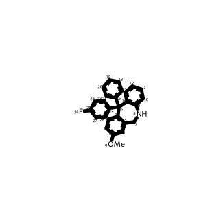 COc1ccc2c(c1)CNc1ccccc1C2(c1ccccc1)c1ccc(F)cc1